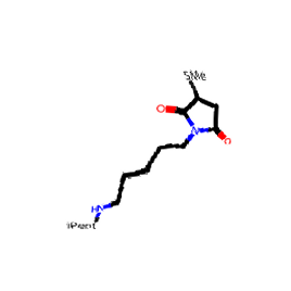 CCCC(C)NCCCCCN1C(=O)CC(SC)C1=O